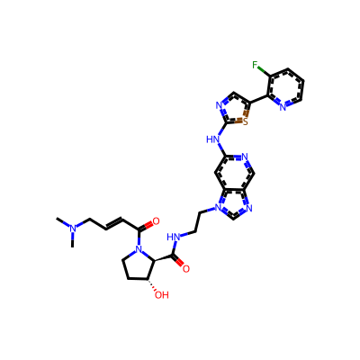 CN(C)C/C=C/C(=O)N1CC[C@@H](O)[C@@H]1C(=O)NCCn1cnc2cnc(Nc3ncc(-c4ncccc4F)s3)cc21